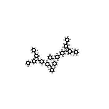 c1ccc(-c2ccc3c(c2)c2cc(-c4ccccc4)ccc2n3-c2ccc(-c3ccc(N(c4ccccc4)c4cccc(N(c5ccccc5)c5ccc(-c6ccc(-n7c8ccc(-c9ccccc9)cc8c8cc(-c9ccccc9)ccc87)cc6)cc5)c4)cc3)cc2)cc1